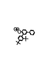 CC(C)(C)c1ccc(-c2cc(-c3ccccc3)ccc2OP=O)c(C(C)(C)C)c1